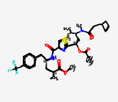 COC(=O)[C@@H](C)C[C@H](Cc1ccc(C(F)(F)F)cc1)NC(=O)c1csc([C@@H](CC(C(C)C)N(C)C(=O)CC2CCC2)OC(C)=O)n1